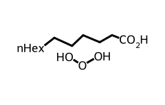 CCCCCCCCCCCC(=O)O.OOO